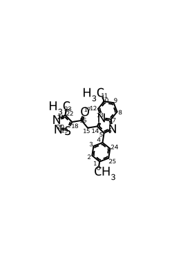 Cc1ccc(-c2nc3ccc(C)cn3c2CC(=O)c2snnc2C)cc1